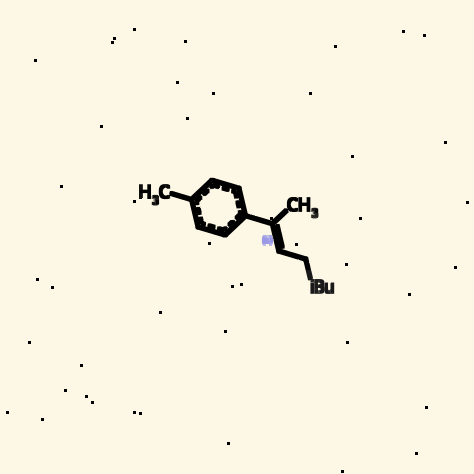 CCC(C)C/C=C(\C)c1ccc(C)cc1